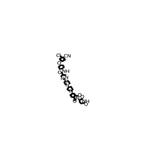 N#Cc1ccc(OC2CCC(NC(=O)c3cnc(N4CCN(C5CCN(c6ccc7c(c6)C(=O)N(C6CCC(=O)NC6=O)C7=O)CC5)CC4)nc3)CC2)cc1Cl